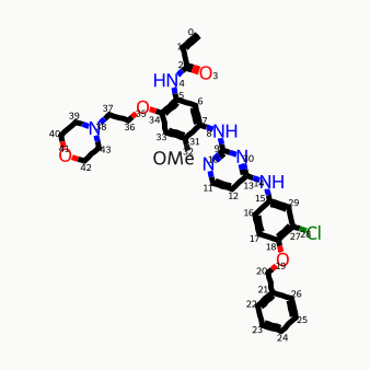 C=CC(=O)Nc1cc(Nc2nccc(Nc3ccc(OCc4ccccc4)c(Cl)c3)n2)c(OC)cc1OCCN1CCOCC1